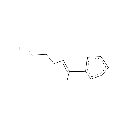 CCCC/C=C(\C)c1ccccc1